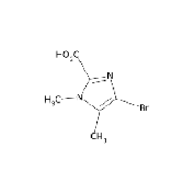 Cc1c(Br)nc(C(=O)O)n1C